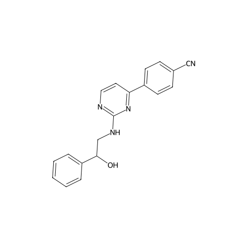 N#Cc1ccc(-c2ccnc(NCC(O)c3ccccc3)n2)cc1